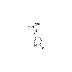 CC(C)(C)[S@@+]([O-])N=Cc1ccc(Br)nc1